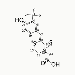 CC(C)(C)c1cc(C=C2SCCN(CC(=O)O)C2=S)ccc1O